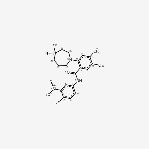 C[S@+]([O-])c1cc(NC(=O)c2cc(Cl)c(C(F)(F)F)cc2N2CCCC(F)(F)CC2)ccc1F